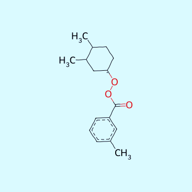 Cc1cccc(C(=O)OO[C]2CCC(C)C(C)C2)c1